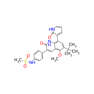 COc1c(C(C)(C)C)cc(-c2ccc[nH]c2=O)c2[nH]c(=O)c(-c3ccc(NS(C)(=O)=O)cc3)cc12